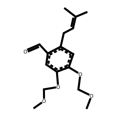 COCOc1cc(C=O)c(CC=C(C)C)cc1OCOC